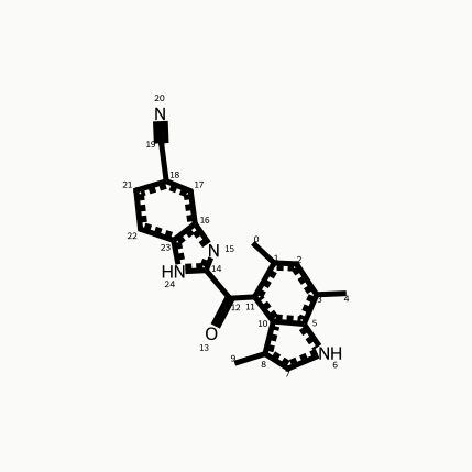 Cc1cc(C)c2[nH]cc(C)c2c1C(=O)c1nc2cc(C#N)ccc2[nH]1